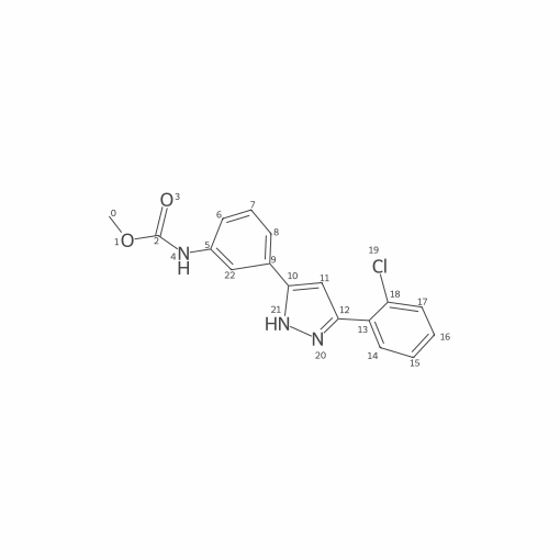 COC(=O)Nc1cccc(-c2cc(-c3ccccc3Cl)n[nH]2)c1